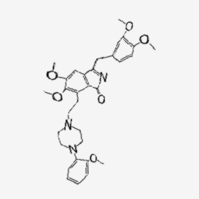 COc1ccc(CC2=NC(=O)c3c2cc(OC)c(OC)c3CCN2CCN(c3ccccc3OC)CC2)cc1OC